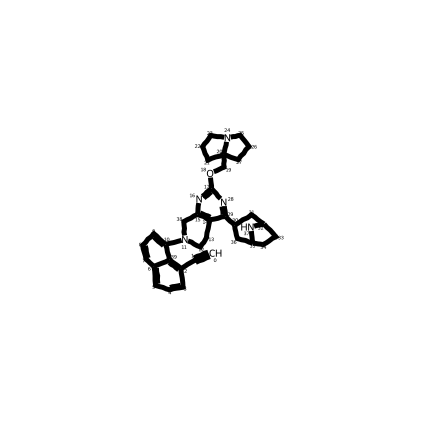 C#Cc1cccc2cccc(N3CCc4c(nc(OCC56CCCN5CCC6)nc4C4CC5CCC(C4)N5)C3)c12